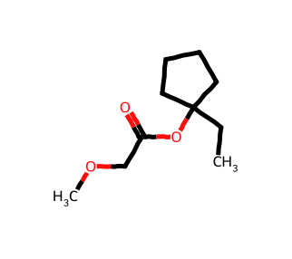 CCC1(OC(=O)COC)CCCC1